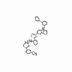 N#Cc1cccc(C2=CC(Nc3ccccc3C3=CC(c4ccc5c(c4)c4ccccc4n5-c4cccc(-c5ccccc5)c4)=CCC3)CC=C2)c1